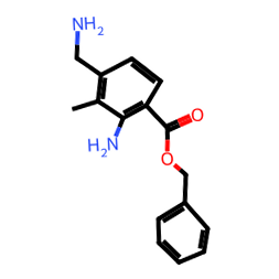 Cc1c(CN)ccc(C(=O)OCc2ccccc2)c1N